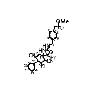 COC(=O)Cc1ccc(CNC(=O)NC2(CC(C)C)C=C(Cl)C(c3ccccc3)=C(Cl)C2C#N)cc1